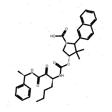 CCCC[C@H](NC(=O)O[C@@H]1CN(C(=O)O)C(c2ccc3ccccc3c2)C1(C)C)C(=O)C(=O)N[C@H](C)c1ccccc1